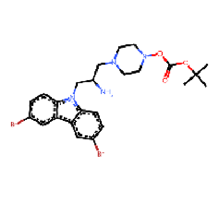 CC(C)(C)OC(=O)ON1CCN(CC(N)Cn2c3ccc(Br)cc3c3cc(Br)ccc32)CC1